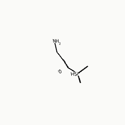 C[SiH](C)CCCN.[O]